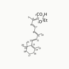 CCOC(C(=O)O)=C(C)C=CC=C(C)C=CC1=C(C)CCCC1(C)C